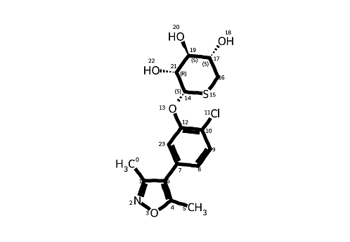 Cc1noc(C)c1-c1ccc(Cl)c(O[C@H]2SC[C@@H](O)[C@H](O)[C@H]2O)c1